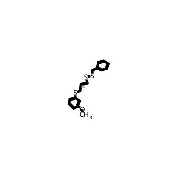 COc1cccc(SC/C=C/SSCc2ccccc2)c1